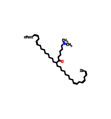 CC/C=C\C/C=C\C/C=C\CCCCCCCCC(CCCCCCCC/C=C\C/C=C\CCCCC)C(=O)CCCCCN(C)C